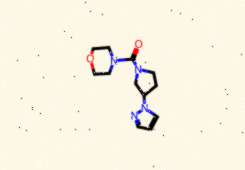 O=C(N1CCOCC1)N1CCC(n2c[c]cn2)C1